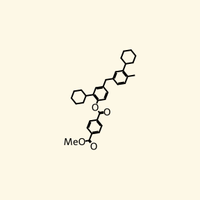 COC(=O)c1ccc(C(=O)Oc2ccc(Cc3ccc(C)c(C4CCCCC4)c3)cc2C2CCCCC2)cc1